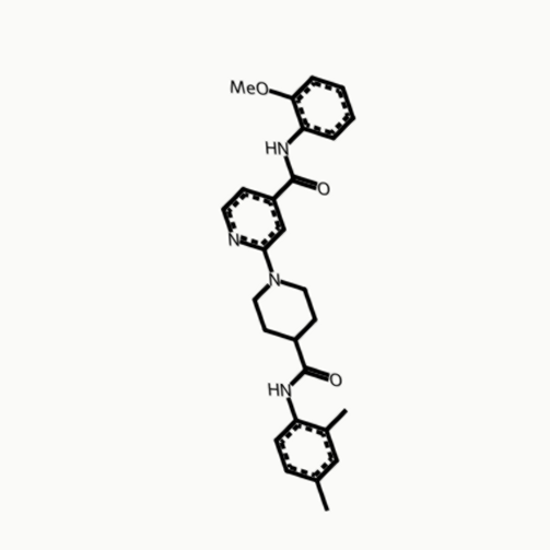 COc1ccccc1NC(=O)c1ccnc(N2CCC(C(=O)Nc3ccc(C)cc3C)CC2)c1